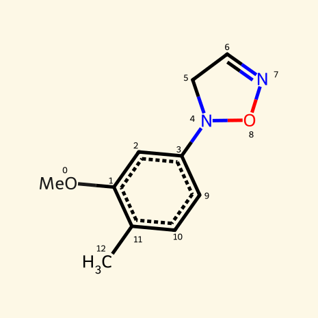 COc1cc(N2CC=NO2)ccc1C